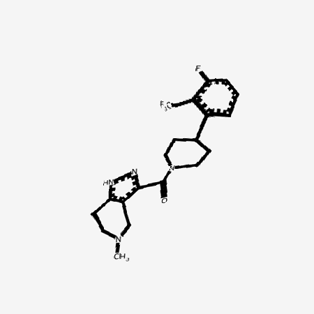 CN1CCc2[nH]nc(C(=O)N3CCC(c4cccc(F)c4C(F)(F)F)CC3)c2C1